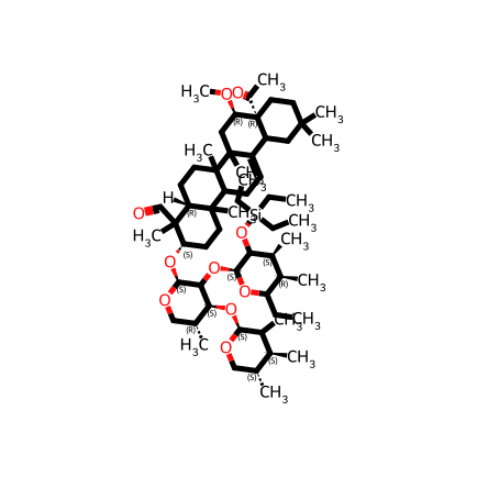 CCC1O[C@@H](OC2[C@H](O[C@H]3CCC4(C)C5CC=C6C7CC(C)(C)CC[C@]7(C(C)=O)[C@H](OC)CC6(C)C5(C)CC[C@H]4C3(C)C=O)OC[C@@H](C)[C@@H]2O[C@@H]2OC[C@@H](C)[C@H](C)C2C)C(O[Si](CC)(CC)CC)[C@@H](C)[C@H]1C